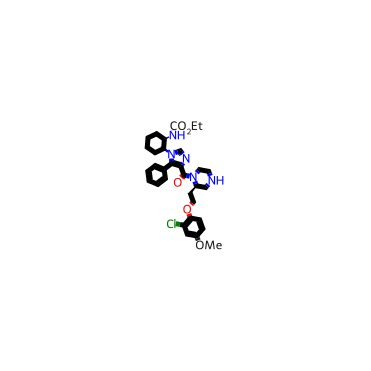 CCOC(=O)N[C@H]1CCCC[C@@H]1n1cnc(C(=O)N2CCNC[C@H]2CCOc2ccc(OC)cc2Cl)c1-c1ccccc1